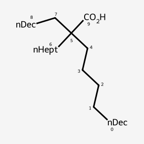 CCCCCCCCCCCCCCC(CCCCCCC)(CCCCCCCCCCC)C(=O)O